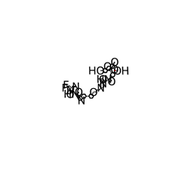 N#C[C@@H]1CC(F)(F)CN1C(=O)CNC(=O)c1ccnc2cc(-c3cccc(OCCCN4CCN(C(=O)CNC(=O)c5ccc(C(=O)O)c(-c6c7ccc(=O)cc-7oc7cc(O)ccc67)c5)CC4)c3)ccc12